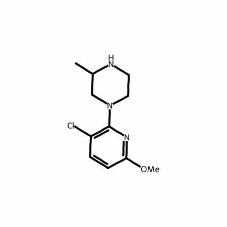 COc1ccc(Cl)c(N2CCNC(C)C2)n1